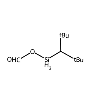 CC(C)(C)C([SiH2]OC=O)C(C)(C)C